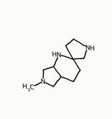 CN1CC2CCC3(CCNC3)NC2C1